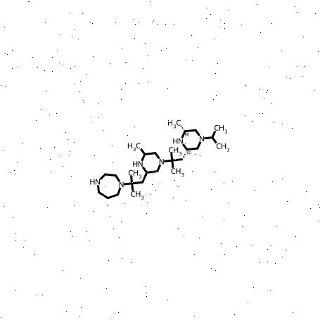 CC1CN(C(C)(C)C[C@H]2CN(C(C)C)C[C@@H](C)N2)CC(CC(C)(C)N2CCCNCC2)N1